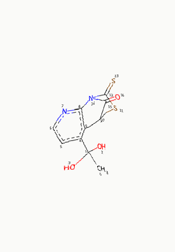 CC(O)(O)c1ccnc2c1C1SC(=S)N2C1=O